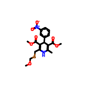 COCSCC1=C(C(=O)OC)C(c2cccc([N+](=O)[O-])c2)C(C(=O)OC)=C(C)N1